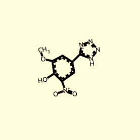 COc1cc(-c2nnn[nH]2)cc([N+](=O)[O-])c1O